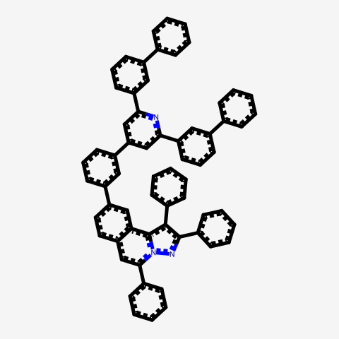 c1ccc(-c2cccc(-c3cc(-c4cccc(-c5ccc6cc(-c7ccccc7)n7nc(-c8ccccc8)c(-c8ccccc8)c7c6c5)c4)cc(-c4cccc(-c5ccccc5)c4)n3)c2)cc1